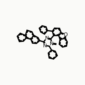 C=N/C(=N\C(=N/Cc1ccccc1)c1ccc2c(ccc3ccccc32)c1)c1c(-c2ccccc2)ccc2oc3ccccc3c12